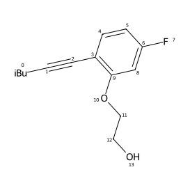 CCC(C)C#Cc1ccc(F)cc1OCCO